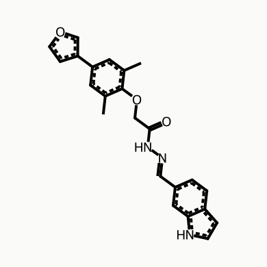 Cc1cc(-c2ccoc2)cc(C)c1OCC(=O)NN=Cc1ccc2cc[nH]c2c1